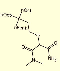 CCCCCCCCC(CCCCC)(CCCCCCCC)CCOC(C(N)=O)C(=O)N(C)C